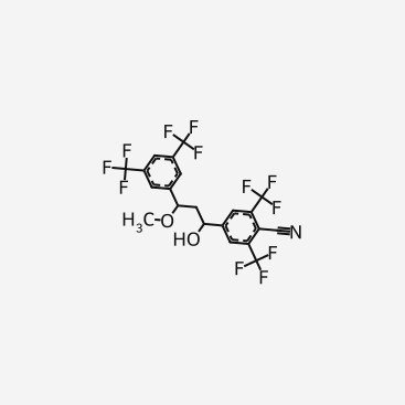 COC(CC(O)c1cc(C(F)(F)F)c(C#N)c(C(F)(F)F)c1)c1cc(C(F)(F)F)cc(C(F)(F)F)c1